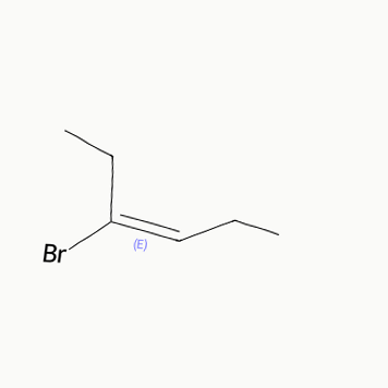 CC/C=C(/Br)CC